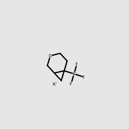 F[B-](F)(F)C12CCOCC1C2.[K+]